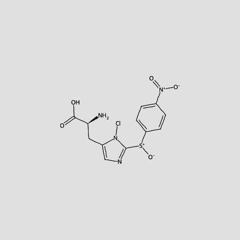 N[C@@H](Cc1cnc([S+]([O-])c2ccc([N+](=O)[O-])cc2)n1Cl)C(=O)O